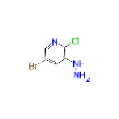 NNc1cc(Br)cnc1Cl